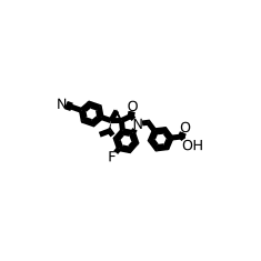 CC(C)[C@]1(c2ccc(C#N)cc2)C[C@]12C(=O)N(Cc1cccc(C(=O)O)c1)c1ccc(F)cc12